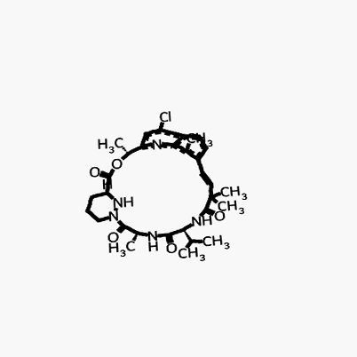 Cc1c2ccc3c(Cl)cc(nc13)[C@@H](C)OC(=O)[C@@H]1CCCN(N1)C(=O)[C@H](C)NC(=O)[C@H](C(C)C)NC(=O)C(C)(C)/C=C/2